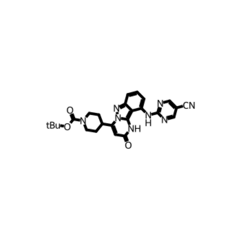 CC(C)(C)OC(=O)N1CCC(c2cc(=O)[nH]c3c4c(Nc5ncc(C#N)cn5)cccc4nn23)CC1